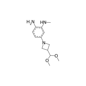 CNc1cc(N2CC(C(OC)OC)C2)ccc1N